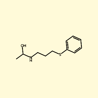 CC(O)NCCCSc1ccccc1